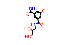 NC(=O)c1cc(O)cc(C(=O)NCC(O)CO)c1